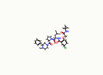 CC(C)C[C@@H](NC(=O)c1cc(Cl)ccc1OC(F)C(=O)NC1(C)CC1)C(=O)N1CCC[C@@H]1C(=O)N1CCN(C)[C@@H](c2ccccc2)C1